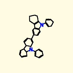 C1=CC2C3C=CC(c4ccc5c(c4)c4c(n5C5=CCCC=C5)CCCC4)=CC3N(c3ccccc3)C2C=C1